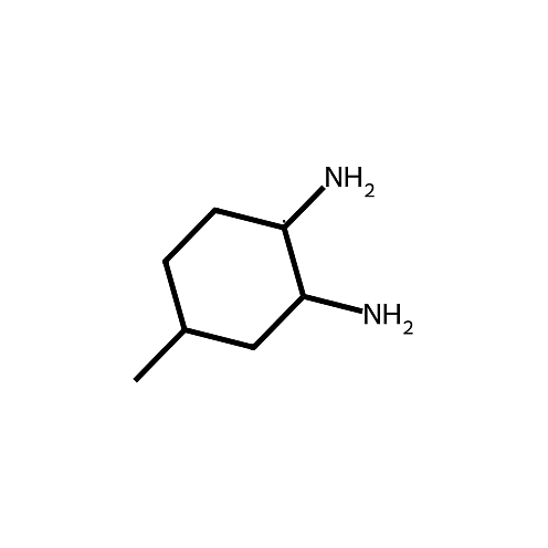 CC1CC[C](N)C(N)C1